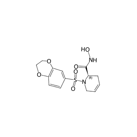 O=C(NO)[C@H]1CC=CCN1S(=O)(=O)c1ccc2c(c1)OCCO2